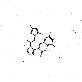 Cc1cc(C)c2[nH]c(=O)c(-c3nccn3C(C)Cn3nc(C)cc3C)cc2c1